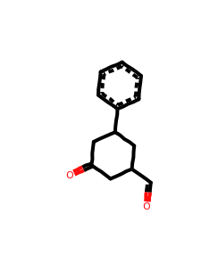 O=CC1CC(=O)CC(c2ccccc2)C1